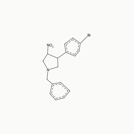 O=[N+]([O-])C1CN(Cc2ccccc2)CC1c1ccc(Br)cc1